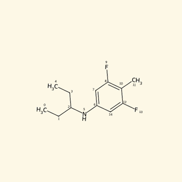 CCC(CC)Nc1cc(F)c(C)c(F)c1